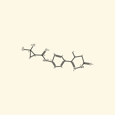 CC1CC(=O)NN=C1c1ccc(NC(=O)C2CC2(Cl)Cl)cc1